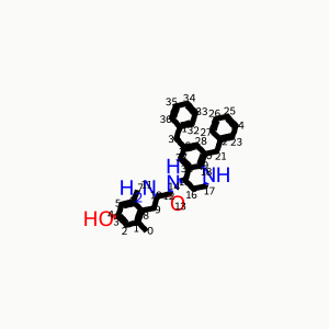 Cc1cc(O)cc(C)c1CC(N)C(=O)NC1CCNc2c(Cc3ccccc3)cc(Cc3ccccc3)cc21